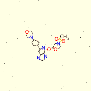 CS(=O)(=O)N1CCO[C@H](COc2nc(-c3ccc(N4CCOCC4)cc3)cc3nccnc23)C1